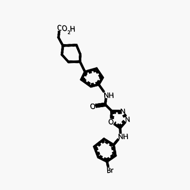 O=C(O)CC1CCC(c2ccc(NC(=O)c3nnc(Nc4cccc(Br)c4)o3)cc2)CC1